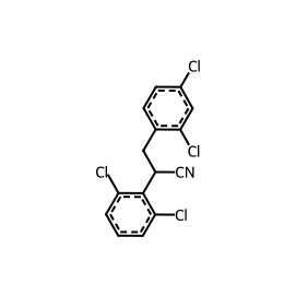 N#CC(Cc1ccc(Cl)cc1Cl)c1c(Cl)cccc1Cl